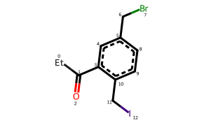 CCC(=O)c1cc(CBr)ccc1CI